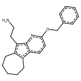 NCCc1c2n(c3ccc(OCc4ccccc4)nc13)CCCCC2